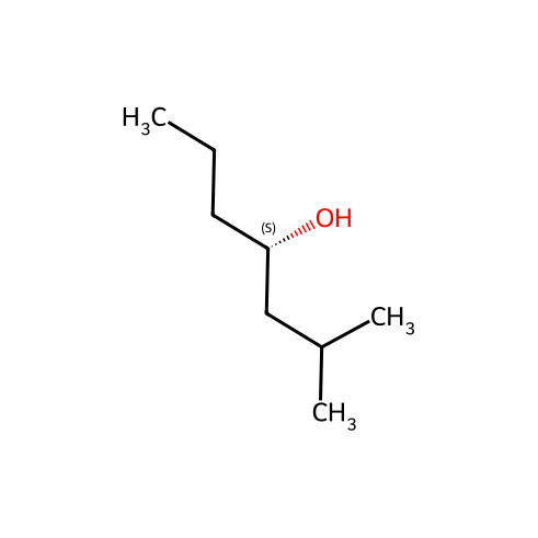 CCC[C@H](O)CC(C)C